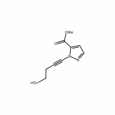 CCCCCCCCCCC#Cn1nccc1C(=O)OC